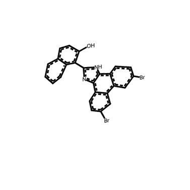 Oc1ccc2ccccc2c1-c1nc2c3ccc(Br)cc3c3cc(Br)ccc3c2[nH]1